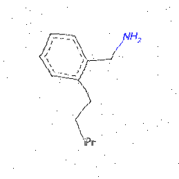 CC(C)CCc1ccccc1CN